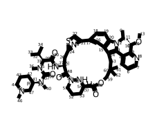 CCn1c(-c2cccnc2[C@H](C)OC)c2c3cc(ccc31)-c1csc(n1)C[C@H](NC(=O)[C@H](C(C)C)N(C)C(=O)N(C)[C@@H]1CCCN(C)C1)C(=O)N1CCC[C@H](N1)C(=O)OCC(C)(C)C2